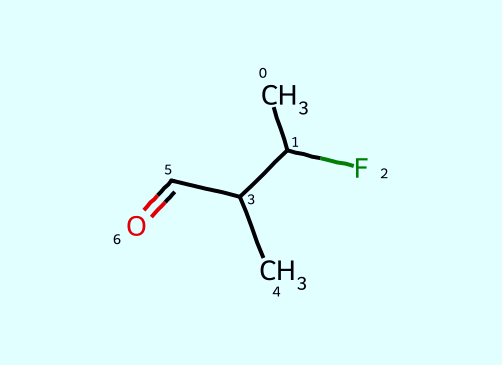 CC(F)C(C)C=O